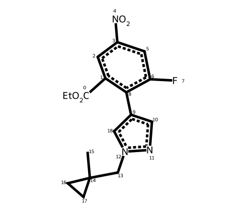 CCOC(=O)c1cc([N+](=O)[O-])cc(F)c1-c1cnn(CC2(C)CC2)c1